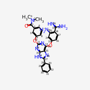 CN(C)C(=O)c1cccc(Oc2nc(Oc3ccc(C(=N)N)c(N)c3)c3nc(-c4ccccc4)[nH]c3n2)c1